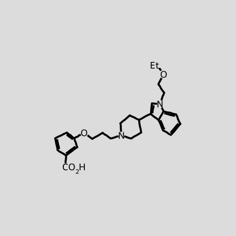 CCOCCn1cc(C2CCN(CCCOc3cccc(C(=O)O)c3)CC2)c2ccccc21